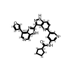 O=C(Nc1cncc(-c2ccc3[nH]nc(-c4nc5c(-c6ccoc6)cncc5[nH]4)c3n2)c1)C1CCCC1